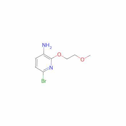 COCCOc1nc(Br)ccc1N